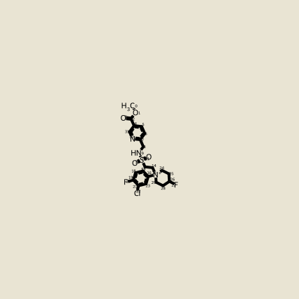 COC(=O)c1ccc(CNS(=O)(=O)CC[N+]2(c3ccc(F)c(Cl)c3)CCC(F)CC2)nc1